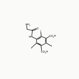 NCC(=O)Nc1c(I)c(C(=O)O)c(I)c(C(=O)O)c1I